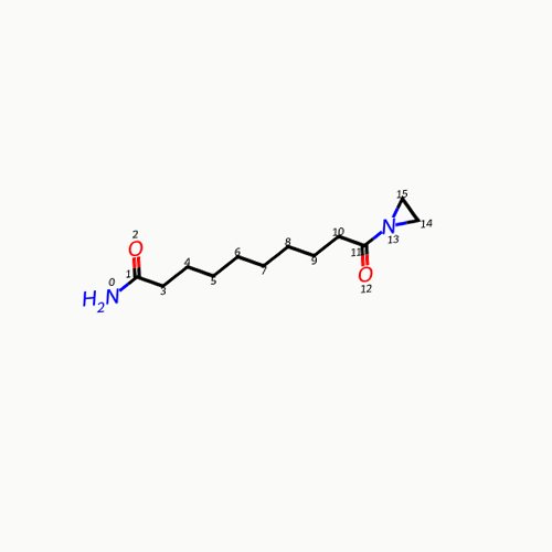 NC(=O)CCCCCCCCC(=O)N1CC1